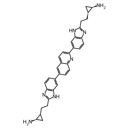 N[C@@H]1CC1CCc1nc2ccc(-c3ccc4nc(-c5ccc6nc(CC[C@H]7C[C@H]7N)[nH]c6c5)ccc4c3)cc2[nH]1